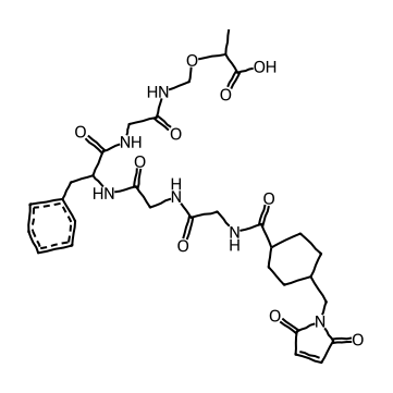 CC(OCNC(=O)CNC(=O)C(Cc1ccccc1)NC(=O)CNC(=O)CNC(=O)C1CCC(CN2C(=O)C=CC2=O)CC1)C(=O)O